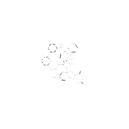 N#CC1(C2(Cc3cccc(-c4nccc(N5CCNCC5CC5CNC5C5(NC6CCC(=O)NC6=O)C=CC=CC5F)n4)c3)C=CC(=O)NN2)C=CC=CC1